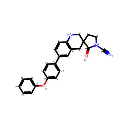 N#CN1CCC2(CNc3ccc(-c4ccc(Oc5ccccc5)cc4)cc3C2)C1=O